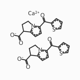 O=C(c1cccs1)c1ccc2n1CCC2C(=O)[O-].O=C(c1cccs1)c1ccc2n1CCC2C(=O)[O-].[Ca+2]